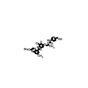 COc1cnc2c(-c3nc4c(Cl)c(F)c(OC[C@@H](C)OC(=O)Nc5ccc(CO)nc5)cc4s3)cc(C)cc2n1